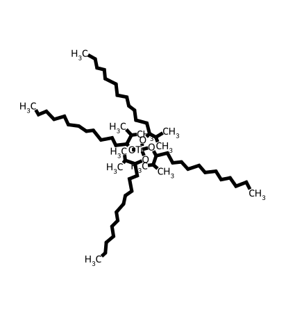 CCCCCCCCCCCCC([O][Ti]([O]C(CCCCCCCCCCCC)C(C)C)([O]C(CCCCCCCCCCCC)C(C)C)[O]C(CCCCCCCCCCCC)C(C)C)C(C)C